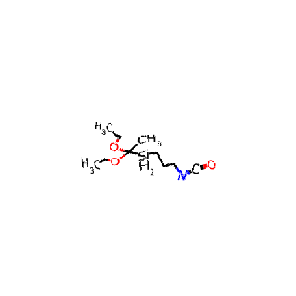 CCOC(C)(OCC)[SiH2]CCCN=C=O